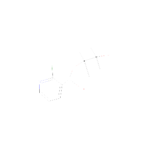 CC(C)(O)C(C)(C)OB(O)c1cccnc1Cl